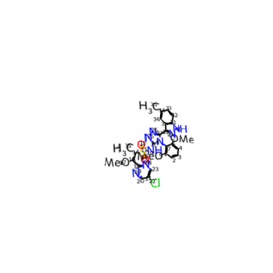 COc1cccc(OC)c1-n1c(NS(=O)(=O)C(C)[C@H](OC)c2ncc(Cl)cn2)nnc1-c1n[nH]c2ccc(C)cc12